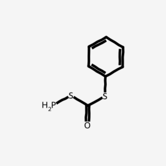 O=C(SP)Sc1ccccc1